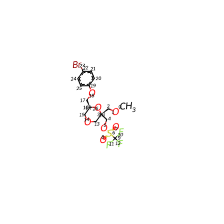 COC[C@@]1(COS(=O)(=O)C(F)(F)F)COC[C@@H](COc2ccc(Br)cc2)O1